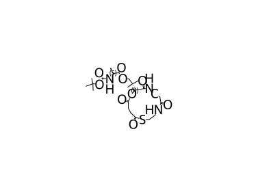 C[C@H](NC(=O)OC(C)(C)C)C(=O)OCC(C)(C)[C@H]1OC(=O)CCC(=O)SCCNC(=O)CCNC1=O